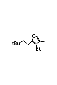 CCc1c(C)coc1CCC(C)(C)C